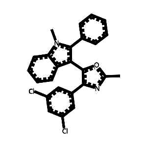 Cc1nc(-c2cc(Cl)cc(Cl)c2)c(-c2c(-c3ccccc3)n(C)c3ccccc23)o1